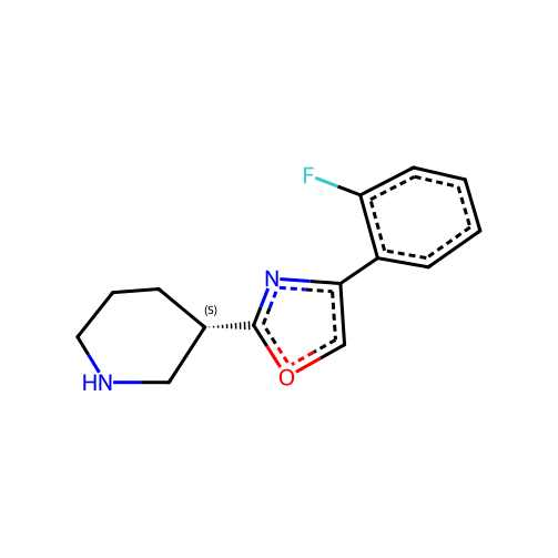 Fc1ccccc1-c1coc([C@H]2CCCNC2)n1